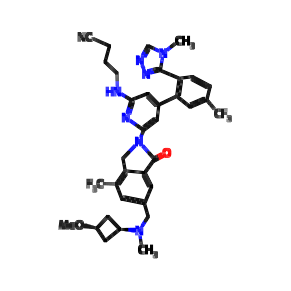 CO[C@H]1C[C@@H](N(C)Cc2cc3c(c(C(F)(F)F)c2)CN(c2cc(-c4cc(C(F)(F)F)ccc4-c4nncn4C)cc(NCCCC#N)n2)C3=O)C1